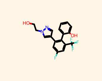 OCCn1cc(-c2cc(F)cc(C(F)(F)F)c2-c2ccccc2O)cn1